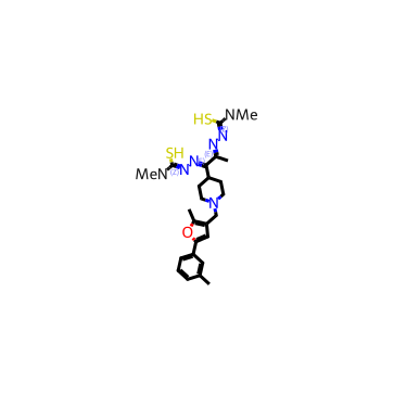 CN/C(S)=N/N=C(C)/C(=N/N=C(\S)NC)C1CCN(Cc2cc(-c3cccc(C)c3)oc2C)CC1